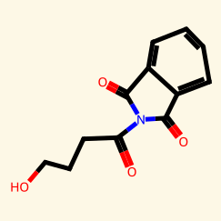 O=C(CCCO)N1C(=O)c2ccccc2C1=O